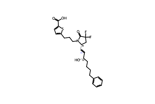 O=C(O)c1ccc(CCCN2C(=O)C(F)(F)C[C@@H]2/C=C/[C@@H](O)CCCCc2ccccc2)s1